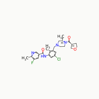 Cc1ncc(C(=O)Nc2cc(Cl)cc(CN3CCN(C(=O)[C@H]4CCOC4)[C@H](C)C3)c2C)cc1F